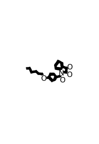 CCCCCCOc1ccc(C(=O)N2C(=O)C(=O)c3ccccc32)cc1